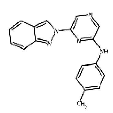 Cc1ccc(Nc2cncc(-n3cc4ccccc4n3)n2)cc1